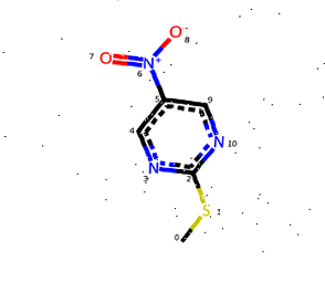 CSc1ncc([N+](=O)[O-])cn1